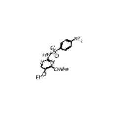 CCOc1cnc(NS(=O)(=O)c2ccc(N)cc2)nc1OC